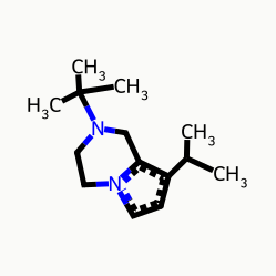 CC(C)c1ccn2c1CN(C(C)(C)C)CC2